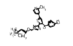 Cc1cc(-c2cc(C(=O)c3ccc(Cl)cc3)c(-c3ncn(COCC[Si](C)(C)C)n3)s2)ccn1